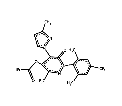 Cc1ccn(-c2c(OC(=O)C(C)C)c(C(F)(F)F)nn(-c3c(C)cc(C(F)(F)F)cc3C)c2=O)n1